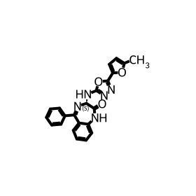 Cc1ccc(-c2nnc(N[C@H]3N=C(c4ccccc4)c4ccccc4NC3=O)o2)o1